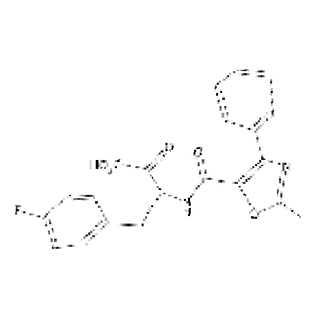 Cc1nc(-c2ccccc2)c(C(=O)NC(Cc2ccc(F)cc2)C(=O)C(=O)O)o1